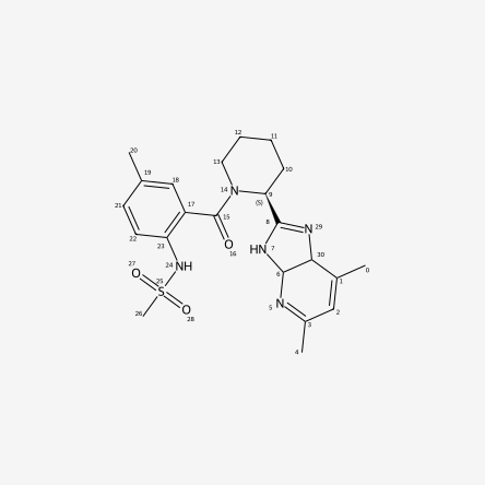 CC1=CC(C)=NC2NC([C@@H]3CCCCN3C(=O)c3cc(C)ccc3NS(C)(=O)=O)=NC12